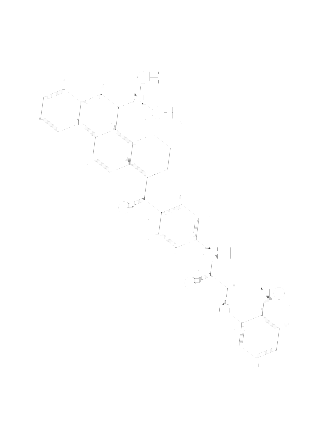 CN(C)C1C=c2ccccc2=c2ccc3c(c21)CCCC=3C(=O)c1ccc(NC(=O)COc2ccccc2[N+](=O)[O-])cc1